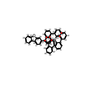 c1ccc(-c2ccccc2N(c2ccc(-c3ccc4c(c3)oc3ccccc34)cc2)c2ccccc2-c2cccc3oc4c5ccccc5ccc4c23)cc1